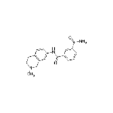 CN1CCc2ccc(NC(=O)c3cccc(C(N)=O)c3)cc2C1